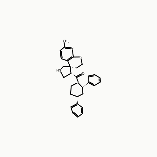 Cc1ccc2c(n1)SCC[C@]21CNC[C@H]1C(=O)N1CC[C@@H](c2ccccc2)C[C@H]1c1ccccc1